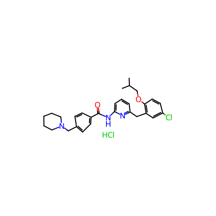 CC(C)COc1ccc(Cl)cc1Cc1cccc(NC(=O)c2ccc(CN3CCCCC3)cc2)n1.Cl